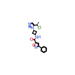 C[C@@H](Cl)c1cnnn1[C@H]1C[C@H](NC(=O)c2cc(-c3ccccc3)no2)C1